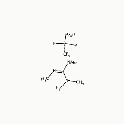 CN=C(NC)N(C)C.O=S(=O)(O)C(F)(F)C(F)(F)F